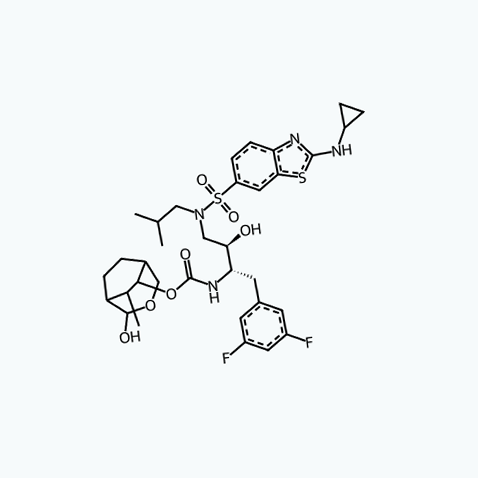 CC(C)CN(C[C@@H](O)[C@H](Cc1cc(F)cc(F)c1)NC(=O)OC1C2CCC(C(O)OC2)C1C)S(=O)(=O)c1ccc2nc(NC3CC3)sc2c1